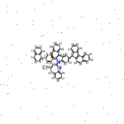 CCC1=C(c2cccc(-c3cccc4ccccc34)c2)C(n2c3ccc(C4c5ccccc5-c5c4ccc4ccccc54)cc3c3c4ccccc4ccc32)=Nc2ccccc2C1